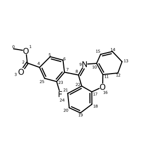 COC(=O)c1ccc(C2=NC3=C(CCC=C3)Oc3ccccc32)c(F)c1